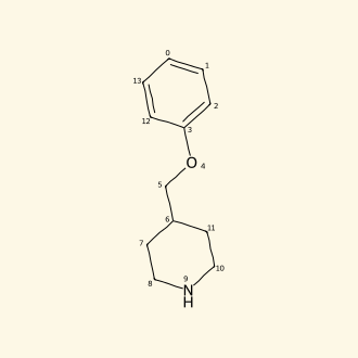 c1ccc(OCC2CCNCC2)cc1